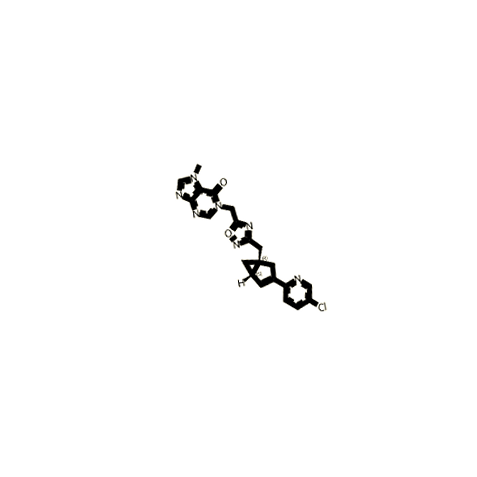 Cn1cnc2ncn(Cc3nc(C[C@@]45CC(c6ccc(Cl)cn6)=C[C@@H]4C5)no3)c(=O)c21